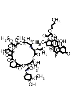 C=CC[C@@H]1/C=C(\C)C[C@H](C)C[C@H](OC)[C@H]2O[C@@](O)(C(=O)C(=O)N3CCCC[C@H]3C(=O)O[C@H](/C(C)=C/[C@@H]3CC[C@@H](O)[C@H](OC)C3)[C@H](C)[C@@H](O)CC1=O)[C@H](C)C[C@@H]2OC.CCCCOC(=O)C(=O)[C@H]1[C@H](C)C[C@H]2[C@@H]3C[C@H](F)C4=CC(=O)C=C[C@]4(C)[C@H]3[C@@H](O)C[C@@]21C